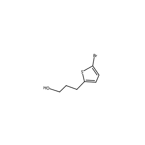 OCCCc1ccc(Br)s1